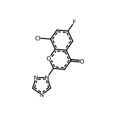 O=c1cc(-n2cncn2)oc2c(Cl)cc(F)cc12